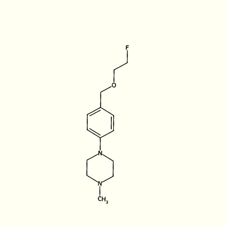 CN1CCN(c2ccc(COCCF)cc2)CC1